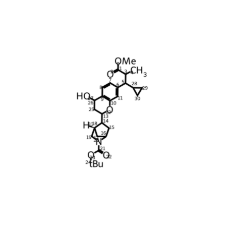 COC(=O)C(C)C(c1ccc2c(c1)OC(C1CC3C[C@@H]1CN3C(=O)OC(C)(C)C)CC2O)C1CC1